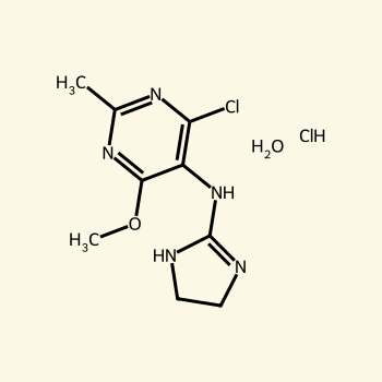 COc1nc(C)nc(Cl)c1NC1=NCCN1.Cl.O